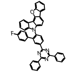 Fc1ccc(-c2cc(-c3nc(-c4ccccc4)nc(-c4ccccc4)n3)ccc2-n2c3ccccc3c3c4oc5ccccc5c4ccc32)cc1